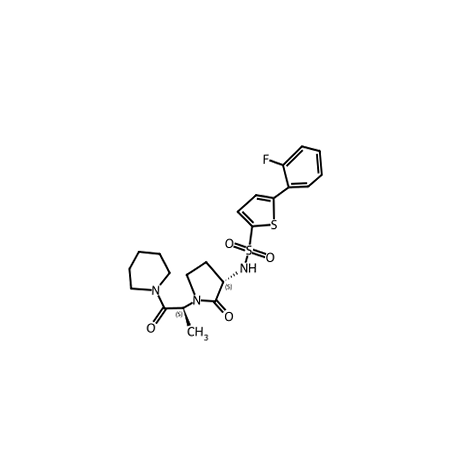 C[C@@H](C(=O)N1CCCCC1)N1CC[C@H](NS(=O)(=O)c2ccc(-c3ccccc3F)s2)C1=O